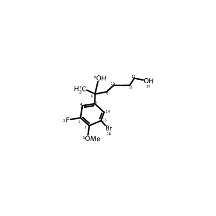 COc1c(F)cc(C(C)(O)CCCCO)cc1Br